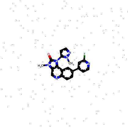 Cn1nccc1-n1c(=O)n(C)c2cnc3ccc(-c4ccnc(F)c4)cc3c21